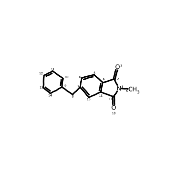 CN1C(=O)c2ccc(Cc3ccccc3)cc2C1=O